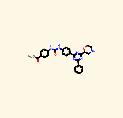 COC(=O)c1ccc(NC(=O)Nc2ccc(-c3nc(-c4ccccc4)nc(C4CNCCO4)n3)cc2)cc1